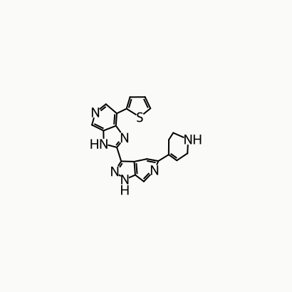 C1=C(c2cc3c(-c4nc5c(-c6cccs6)cncc5[nH]4)n[nH]c3cn2)CCNC1